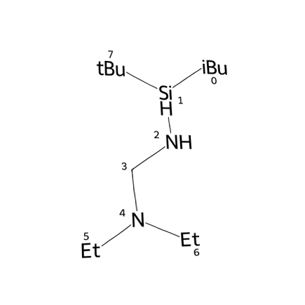 CCC(C)[SiH](NCN(CC)CC)C(C)(C)C